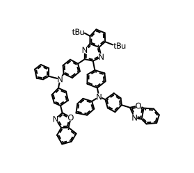 CC(C)(C)c1ccc(C(C)(C)C)c2nc(-c3ccc(N(c4ccccc4)c4ccc(-c5nc6ccccc6o5)cc4)cc3)c(-c3ccc(N(c4ccccc4)c4ccc(-c5nc6ccccc6o5)cc4)cc3)nc12